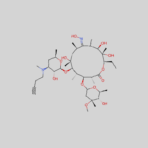 C#CCCN(C)[C@H]1C[C@@H](C)O[C@@H](O[C@@H]2[C@@H](C)[C@H](OC3C[C@@](C)(OC)[C@@H](O)[C@H](C)O3)[C@@H](C)C(=O)O[C@H](CC)[C@@](C)(O)[C@H](O)C(C)/C(=N/O)[C@H](C)C[C@@]2(C)O)[C@@H]1O